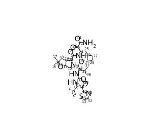 CC(C)[C@H](NC(=O)N[C@H](C(=O)N1CC2OC(C)(C)CC2[C@H]1C(=O)NC(CC1CCC1)C(=O)C(N)=O)C(C)C)C(=O)c1nccs1